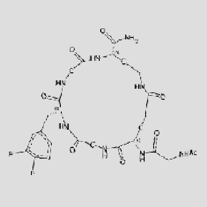 CC(=O)NCC(=O)N[C@H]1CCC(=O)NCC[C@@H](C(N)=O)NC(=O)CNC(=O)[C@@H](Cc2ccc(F)c(F)c2)NC(=O)CNC1=O